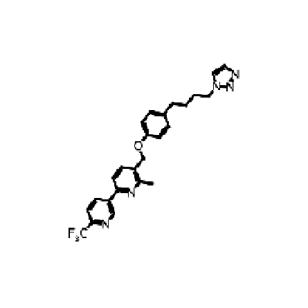 Cc1nc(-c2ccc(C(F)(F)F)nc2)ccc1COc1ccc(CCCCn2ccnn2)cc1